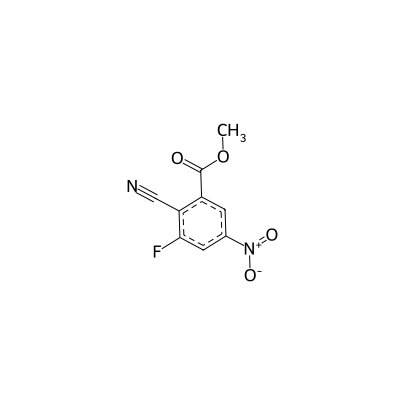 COC(=O)c1cc([N+](=O)[O-])cc(F)c1C#N